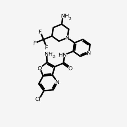 Nc1oc2cc(Cl)cnc2c1C(=O)Nc1cnccc1N1CC(N)CC(C(F)(F)F)C1